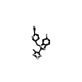 Cc1nonc1-c1nc2ccc(F)cc2n1Cc1ccc(C#N)nc1